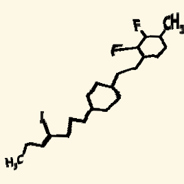 CCCC(I)CCCC1CCC(CCC2CCC(C)C(F)C2F)CC1